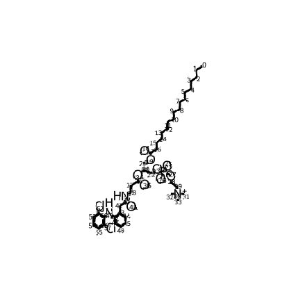 CCCCCCCCCCCCCCCCCC(=O)OC[C@H](COP(=O)([O-])OCC[N+](C)(C)C)OC(=O)CCNC(=O)Cc1ccccc1Nc1c(Cl)cccc1Cl